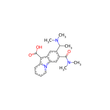 CC(c1cc2c(C(=O)O)c3ccccn3c2cc1C(=O)N(C)C)N(C)C